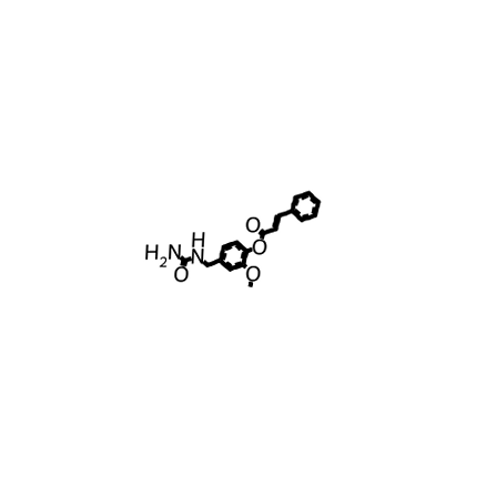 COc1cc(CNC(N)=O)ccc1OC(=O)C=Cc1ccccc1